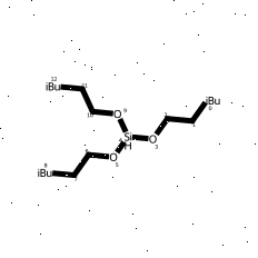 CCC(C)CCO[SiH](OCCC(C)CC)OCCC(C)CC